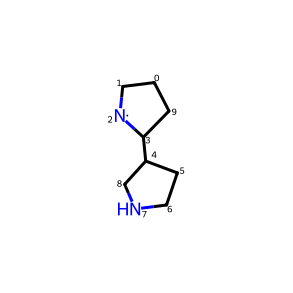 C1C[N]C(C2CCNC2)C1